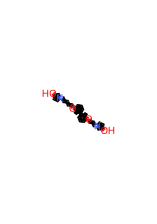 Cc1c(OCCCCCN2CCC(O)C2)cccc1-c1cccc(OCCCN2CCC(O)C2)c1C